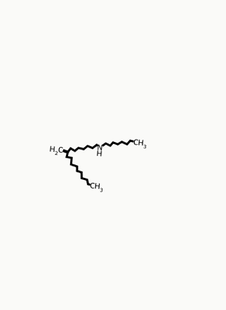 C=C(CCCCCCCCCC)CCCCCCCNCCCCCCCC